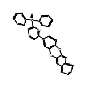 O=P(c1ccccc1)(c1ccccc1)c1cccc(-c2ccc3c(c2)Oc2cc4ccccc4cc2O3)n1